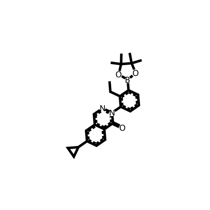 CCc1c(B2OC(C)(C)C(C)(C)O2)cccc1-n1ncc2cc(C3CC3)ccc2c1=O